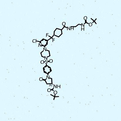 CC(C)(C)OC(=O)NCCCNC(=O)C1CCC(C(F)(F)c2cc(Cl)nc(N3CCN(S(=O)(=O)c4ccc(N5C[C@H](NC(=O)OC(C)(C)C)CC5=O)cc4)CC3)c2)CC1